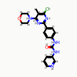 Cc1c(Cl)nc(-c2ccc(NC(=O)Nc3cccnc3)cc2)nc1N1CCOCC1